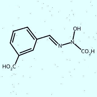 O=C(O)c1cccc(C=NN(O)C(=O)O)c1